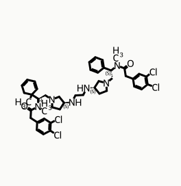 CN(C(=O)Cc1ccc(Cl)c(Cl)c1)[C@H](CN1CC[C@H](NCCN[C@H]2CCN(C[C@@H](N(C)C(=O)Cc3ccc(Cl)c(Cl)c3)C3(C)C=CC=CC3)C2)C1)c1ccccc1